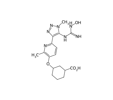 Cc1nc(-c2nnn(C)c2NC(=N)NO)ccc1OC1CCCC(C(=O)O)C1